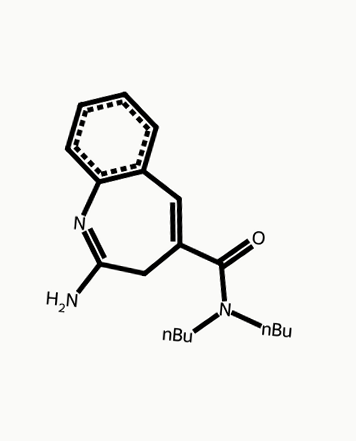 CCCCN(CCCC)C(=O)C1=Cc2ccccc2N=C(N)C1